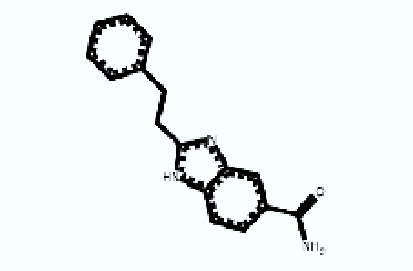 NC(=O)c1ccc2[nH]c(CCc3ccccc3)nc2c1